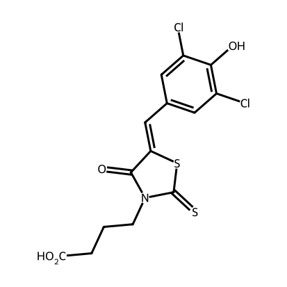 O=C(O)CCCN1C(=O)/C(=C/c2cc(Cl)c(O)c(Cl)c2)SC1=S